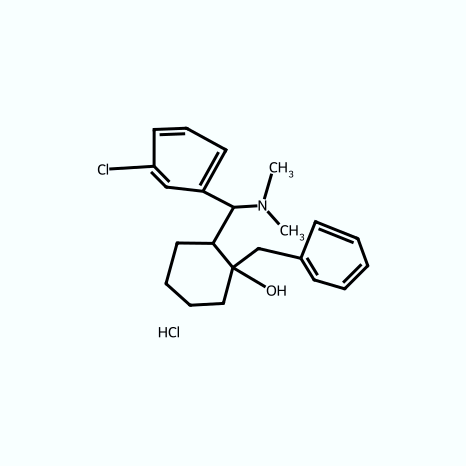 CN(C)C(c1cccc(Cl)c1)C1CCCCC1(O)Cc1ccccc1.Cl